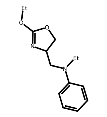 CCOC1=NC(CN(CC)c2ccccc2)CO1